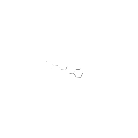 CCCCCC(Cl)CCC(=O)Oc1ccc(C(=O)O)cc1